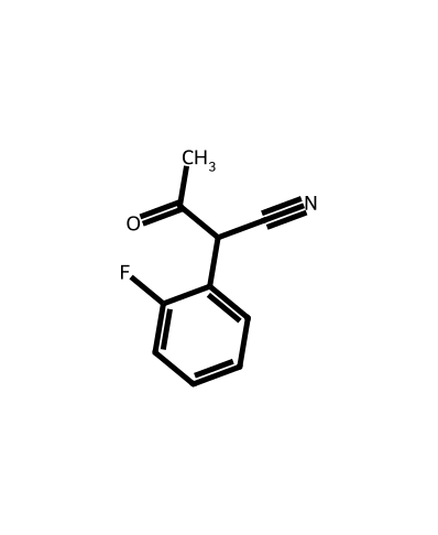 CC(=O)C(C#N)c1ccccc1F